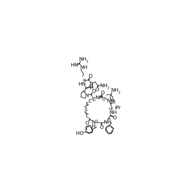 CC(C)[C@@H]1NC(=O)[C@H](Cc2ccccc2)NC(=O)[C@H](Cc2ccc(O)cc2)NC(=O)CCSSC[C@@H](C(=O)N2CCC[C@H]2C(=O)N[C@H](CCCNC(=N)N)C(=O)NCC(N)=O)NC(=O)[C@H](CC(N)=O)NC1=O